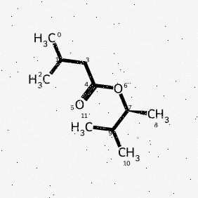 CC(C)CC(=O)O[C@@H](C)C(C)C